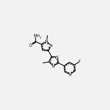 Cc1nc(-c2cncc(F)c2)sc1-c1cc(C(N)=O)n(C)n1